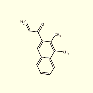 C=CC(=O)c1cc2ccccc2c(C)c1C